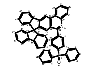 O=P(c1ccccc1)(c1ccccc1)c1ccc(-c2nc3ccccc3c3cc4c(cc23)C2(c3ccccc3-c3ccccc32)c2ccccc2-4)cc1